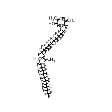 C=C(C)C(=O)O.C=C(C)C(=O)O.CC(SC(F)(F)C(F)(F)C(F)(F)C(F)(F)C(F)(F)C(F)(F)C(F)(F)C(F)(F)C(F)(F)C(F)(F)F)C(C)SC(F)(F)C(F)(F)C(F)(F)C(F)(F)C(F)(F)C(F)(F)C(F)(F)C(F)(F)C(F)(F)C(F)(F)F